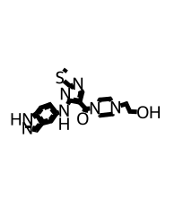 CSc1ncc(C(=O)N2CCN(CCO)CC2)c(Nc2ccc3[nH]ncc3c2)n1